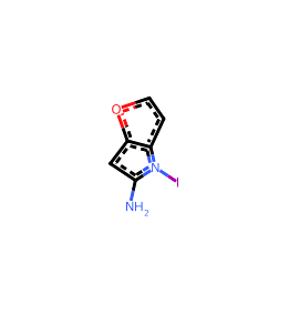 Nc1cc2occc2n1I